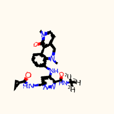 [2H]C([2H])([2H])NC(=O)c1nnc(NC(=O)C2CC2)cc1Nc1cccc2c1N(C)Cc1ccn(C)c(=O)c1-2